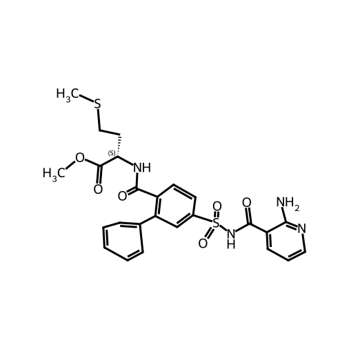 COC(=O)[C@H](CCSC)NC(=O)c1ccc(S(=O)(=O)NC(=O)c2cccnc2N)cc1-c1ccccc1